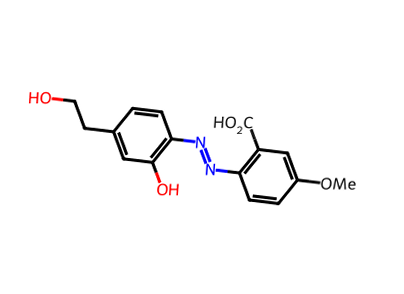 COc1ccc(N=Nc2ccc(CCO)cc2O)c(C(=O)O)c1